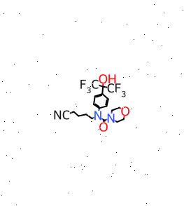 N#CCCCCN(C(=O)N1CCOCC1)c1ccc(C(O)(C(F)(F)F)C(F)(F)F)cc1